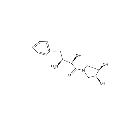 N[C@@H](Cc1ccccc1)[C@@H](O)C(=O)N1C[C@@H](O)[C@@H](O)C1